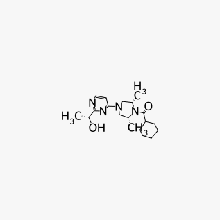 C[C@@H]1CN(c2ccnc([C@@H](C)O)n2)C[C@H](C)N1C(=O)C1CCCCC1